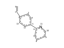 C=Cc1ccc(-c2ccccn2)cc1